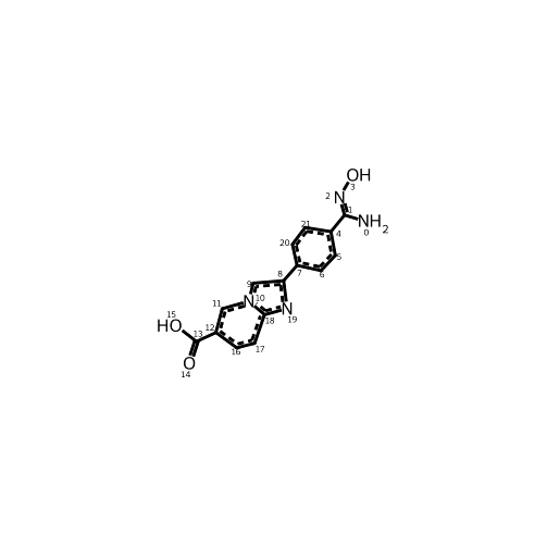 NC(=NO)c1ccc(-c2cn3cc(C(=O)O)ccc3n2)cc1